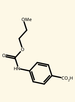 COCCOC(=O)Nc1ccc(C(=O)O)cc1